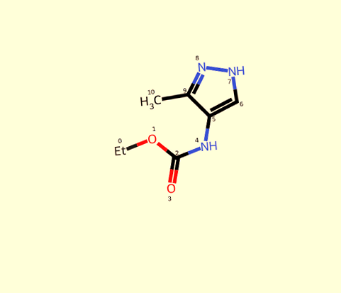 CCOC(=O)Nc1c[nH]nc1C